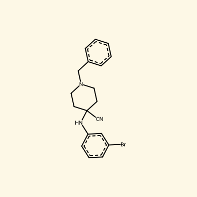 N#CC1(Nc2cccc(Br)c2)CCN(Cc2ccccc2)CC1